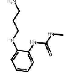 CNC(=O)Nc1ccccc1NCCCN